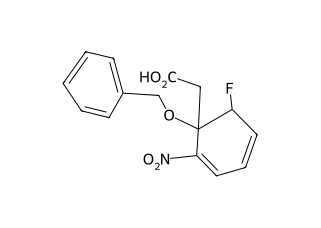 O=C(O)CC1(OCc2ccccc2)C([N+](=O)[O-])=CC=CC1F